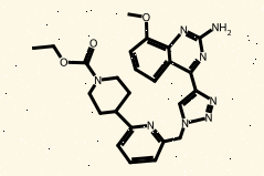 CCOC(=O)N1CCC(c2cccc(Cn3cc(-c4nc(N)nc5c(OC)cccc45)nn3)n2)CC1